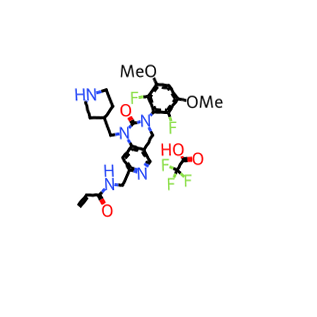 C=CC(=O)NCc1cc2c(cn1)CN(c1c(F)c(OC)cc(OC)c1F)C(=O)N2CC1CCNCC1.O=C(O)C(F)(F)F